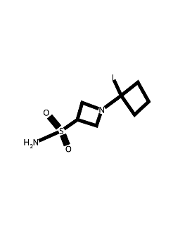 NS(=O)(=O)C1CN(C2(I)CCC2)C1